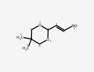 CC1(C)COC(/C=C/N=O)OC1